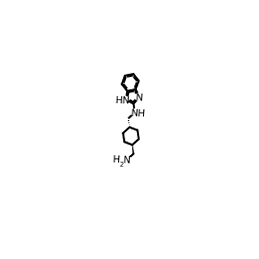 NC[C@H]1CC[C@H](CNc2nc3ccccc3[nH]2)CC1